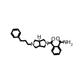 NC(=O)c1ccccc1C(=O)N1CC2CN(CC[CH]c3ccccc3)C[C@H]2C1